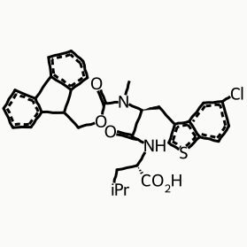 CC(C)C[C@H](NC(=O)[C@H](Cc1csc2ccc(Cl)cc12)N(C)C(=O)OCC1c2ccccc2-c2ccccc21)C(=O)O